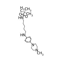 CN1CCN(c2ccc(NCCCCCNS(=O)(=O)C(C)(C)C)cc2)CC1